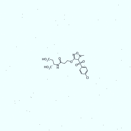 CN1ON=C(OCCC(=O)N[C@@H](CC(=O)O)C(=O)O)C1S(=O)(=O)c1ccc(Cl)cc1